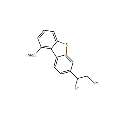 COc1cccc2sc3cc(C(CC(C)C)C(C)C)ccc3c12